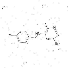 Cc1ncc(Br)cc1NCc1ccc(F)cc1